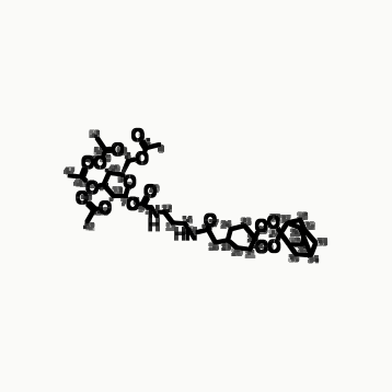 CC(=O)OC[C@H]1O[C@H](OC(=O)NCCCNC(=O)CC2CCC3(CC2)OOC2(OO3)C3CC4CC(C3)CC2C4)[C@H](OC(C)=O)[C@@H](OC(C)=O)[C@@H]1OC(C)=O